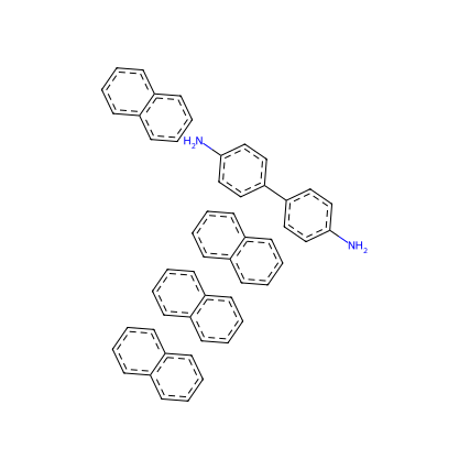 Nc1ccc(-c2ccc(N)cc2)cc1.c1ccc2ccccc2c1.c1ccc2ccccc2c1.c1ccc2ccccc2c1.c1ccc2ccccc2c1